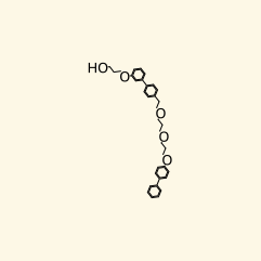 OCCCOc1cccc(-c2ccc(CCOCCCOCCCOc3ccc(-c4ccccc4)cc3)cc2)c1